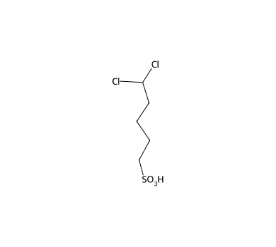 O=S(=O)(O)CCCCC(Cl)Cl